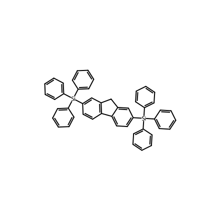 c1ccc([Si](c2ccccc2)(c2ccccc2)c2ccc3c(c2)Cc2cc([Si](c4ccccc4)(c4ccccc4)c4ccccc4)ccc2-3)cc1